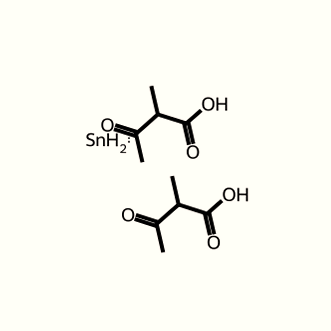 CC(=O)C(C)C(=O)O.CC(=O)C(C)C(=O)O.[SnH2]